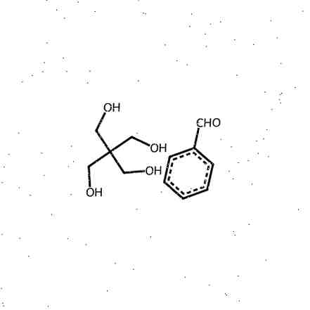 O=Cc1ccccc1.OCC(CO)(CO)CO